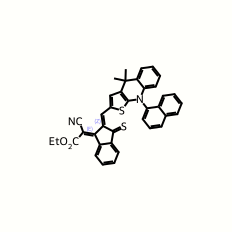 CCOC(=O)/C(C#N)=C1/C(=C/c2cc3c(s2)N(c2cccc4ccccc24)c2ccccc2C3(C)C)C(=S)c2ccccc21